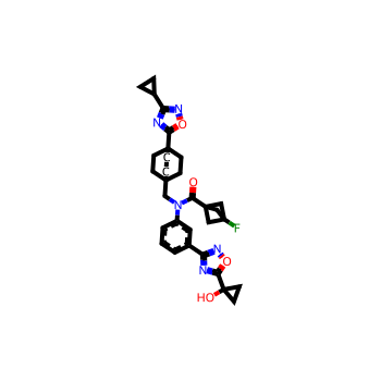 O=C(N(CC12CCC(c3nc(C4CC4)no3)(CC1)CC2)c1cccc(-c2noc(C3(O)CC3)n2)c1)C12CC(F)(C1)C2